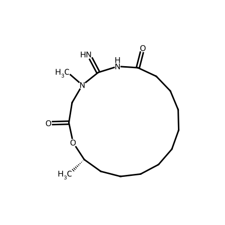 C[C@H]1CCCCCCCCCC(=O)NC(=N)N(C)CC(=O)O1